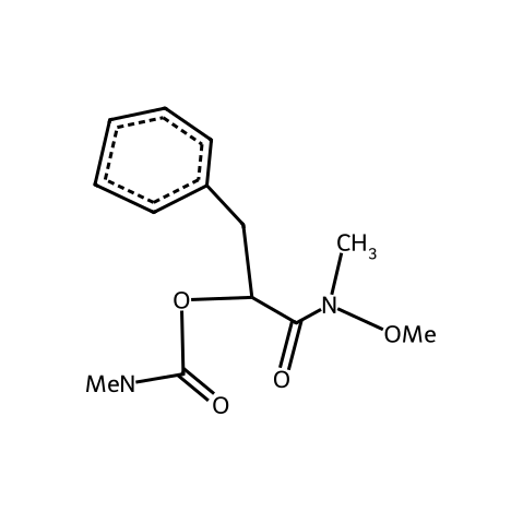 CNC(=O)OC(Cc1ccccc1)C(=O)N(C)OC